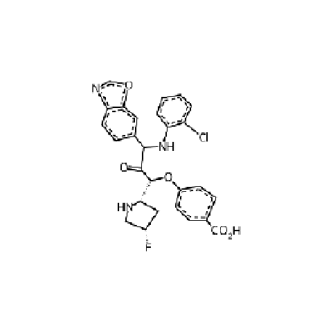 O=C(O)c1ccc(OC(C(=O)C(Nc2ccccc2Cl)c2ccc3ncoc3c2)[C@@H]2C[C@H](F)CN2)cc1